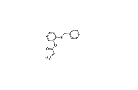 C=CC(=O)Oc1ccccc1SCc1ccccc1